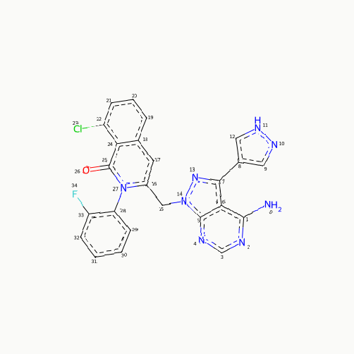 Nc1ncnc2c1c(-c1cn[nH]c1)nn2Cc1cc2cccc(Cl)c2c(=O)n1-c1ccccc1F